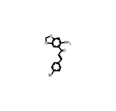 Nc1cc2c(cc1C(=O)/C=C/c1ccc(Br)cc1)OCO2